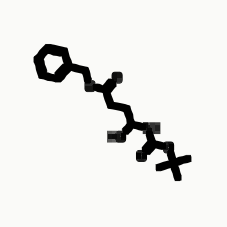 CC(C)(C)OC(=O)NC(O)CCC(=O)OCc1ccccc1